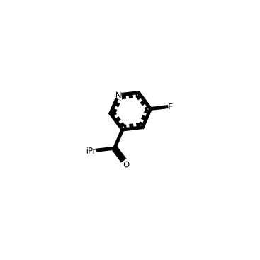 CC(C)C(=O)c1cncc(F)c1